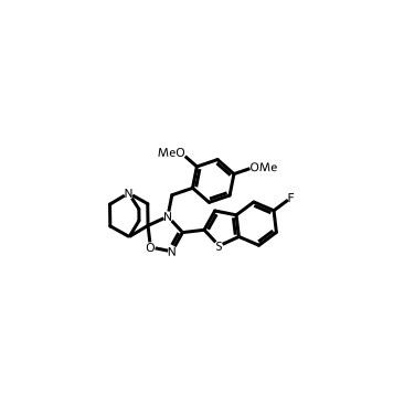 COc1ccc(CN2C(c3cc4cc(F)ccc4s3)=NOC23CN2CCC3CC2)c(OC)c1